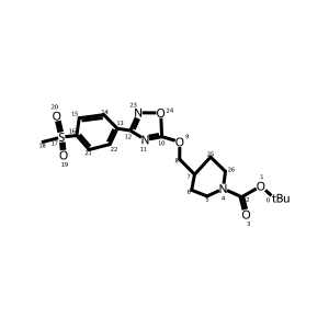 CC(C)(C)OC(=O)N1CCC(COc2nc(-c3ccc(S(C)(=O)=O)cc3)no2)CC1